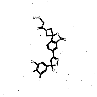 CSCC(=O)N1CC2(C1)OC(=O)c1cc(C3=NOC(c4cc(Cl)c(F)c(Cl)c4)(C(F)(F)F)C3)ccc12